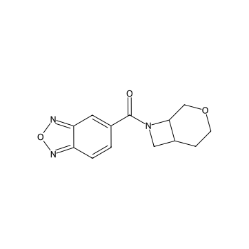 O=C(c1ccc2nonc2c1)N1CC2CCOCC21